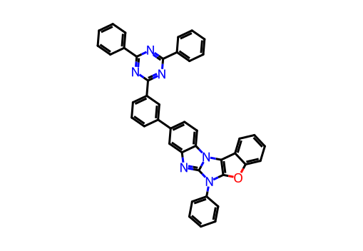 c1ccc(-c2nc(-c3ccccc3)nc(-c3cccc(-c4ccc5c(c4)nc4n(-c6ccccc6)c6oc7ccccc7c6n54)c3)n2)cc1